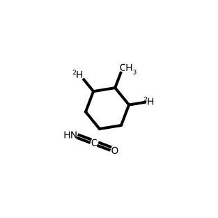 N=C=O.[2H]C1CCCC([2H])C1C